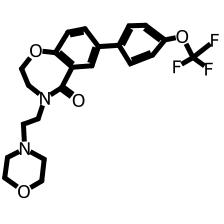 O=C1c2cc(-c3ccc(OC(F)(F)F)cc3)ccc2OCCN1CCN1CCOCC1